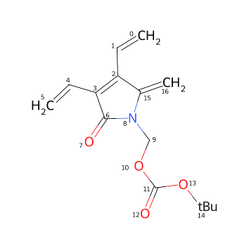 C=CC1=C(C=C)C(=O)N(COC(=O)OC(C)(C)C)C1=C